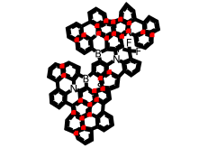 FC(F)(F)c1cccc(-c2ccccc2)c1N1c2cc3c(cc2B2c4ccccc4N(c4c(-c5ccccc5)cccc4-c4ccccc4)c4cc(N(c5ccccc5)c5c(-c6ccccc6)cccc5-c5ccccc5)cc1c42)B1c2ccccc2N(c2c(-c4ccccc4)cccc2-c2ccccc2)c2cc(N(c4ccccc4)c4c(-c5ccccc5)cccc4-c4ccccc4)cc(c21)S3